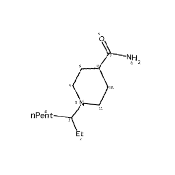 CCCCCC(CC)N1CCC(C(N)=O)CC1